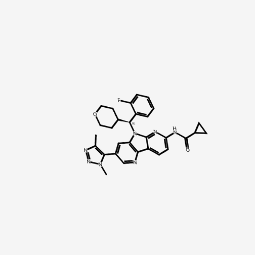 Cc1nnn(C)c1-c1cnc2c3ccc(NC(=O)C4CC4)nc3n([C@H](c3ccccc3F)C3CCOCC3)c2c1